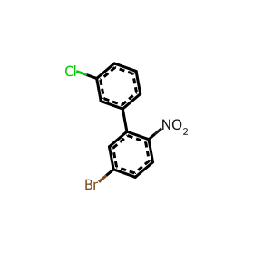 O=[N+]([O-])c1ccc(Br)cc1-c1cccc(Cl)c1